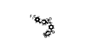 O=C1OC2(CCN(Cc3ccc(C(F)(F)F)cc3)CC2)CN1C[C@H]1CC[C@H](C(=O)N2CCS(=O)(=O)CC2)CC1